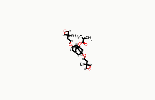 C=C(C)C(=O)OC12CC3CC(OCCC4(CC)COC4)(CC(OCCC4(CC)COC4)(C3)C1)C2